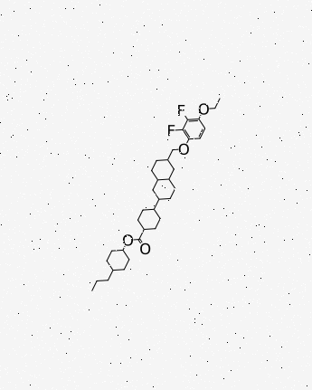 CCCC1CCC(OC(=O)C2CCC(C3CCC4CC(COc5ccc(OCC)c(F)c5F)CCC4C3)CC2)CC1